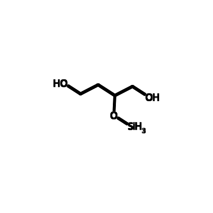 OCCC(CO)O[SiH3]